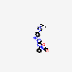 CN1CCN(c2ccc(Nc3ncc4c(=O)n5c(nc4n3)c3ccccc3n5-c3ccoc3)cc2)CC1